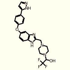 OC(N1CCN(Cc2nc3cc(Oc4ccc(-c5ccn[nH]5)cc4)ccc3[nH]2)CC1)C(F)(F)F